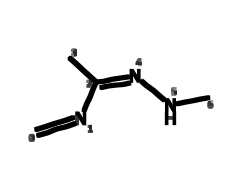 C=N/C(C)=N\NC